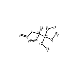 C=CCC(CC)(CCCCC)[Si](OCC)(OCC)OCC